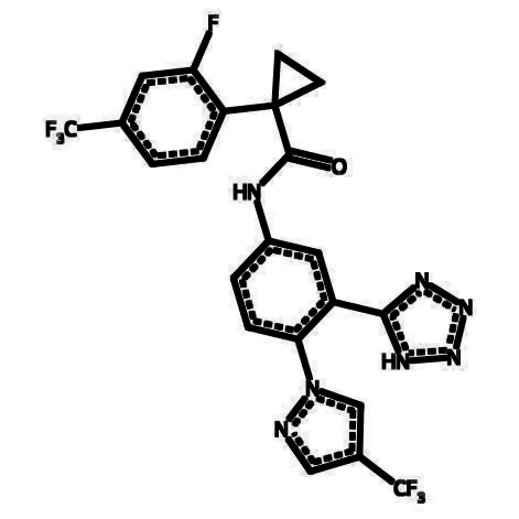 O=C(Nc1ccc(-n2cc(C(F)(F)F)cn2)c(-c2nnn[nH]2)c1)C1(c2ccc(C(F)(F)F)cc2F)CC1